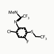 CN/C(=N/c1cc(SCC(F)(F)F)c(F)cc1Cl)C(F)(F)F